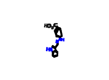 O=C(O)c1ccc(NN=Cc2c[nH]c3ccccc23)cc1